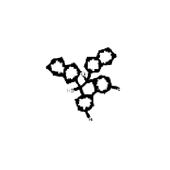 OC1(c2ccc3ccccc3c2)c2ccc(Br)cc2-c2cc(Br)ccc2C1(O)c1ccc2ccccc2c1